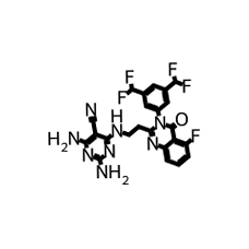 N#Cc1c(N)nc(N)nc1NCCc1nc2cccc(F)c2c(=O)n1-c1cc(C(F)F)cc(C(F)F)c1